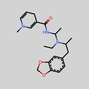 CCN(C(C)Cc1ccc2c(c1)OCO2)C(C)NC(=O)C1=CN(C)C=CC1